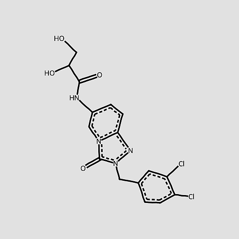 O=C(Nc1ccc2nn(Cc3ccc(Cl)c(Cl)c3)c(=O)n2c1)C(O)CO